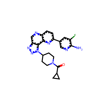 Nc1ncc(-c2ccc3ncc4nnn(C5CCN(C(=O)C6CC6)CC5)c4c3n2)cc1F